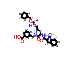 Cn1c(C(=O)N[C@@H](CCCNC(=O)OCc2ccccc2)C(=O)NCc2cccc(C(=O)O)c2)cc2ccccc21